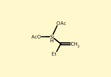 C=C(CC)[SiH](OC(C)=O)OC(C)=O